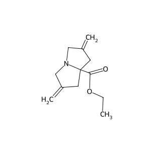 C=C1CN2CC(=C)CC2(C(=O)OCC)C1